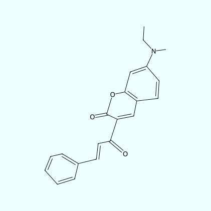 CCN(C)c1ccc2cc(C(=O)C=Cc3ccccc3)c(=O)oc2c1